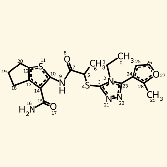 CCn1c(SC(C)C(=O)Nc2sc3c(c2C(N)=O)CCC3)nnc1-c1ccoc1C